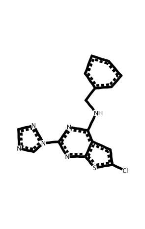 Clc1cc2c(NCc3ccccc3)nc(-n3cncn3)nc2s1